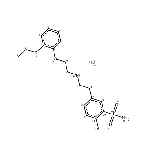 CCOc1ccccc1OCCNCCc1ccc(C)c(S(N)(=O)=O)c1.Cl